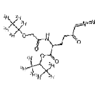 [2H]C([2H])([2H])C(OC(=O)[C@H](CCC(=O)C=[N+]=[N-])NC(=O)COC([2H])([2H])C([2H])([2H])[2H])C([2H])([2H])[2H]